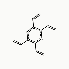 C=Cc1cc(C=C)c(C=C)nc1C=C